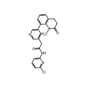 CN1C(=O)CCc2cccc(-c3cncc(CC(=O)Nc4cccc(Cl)n4)c3)c21